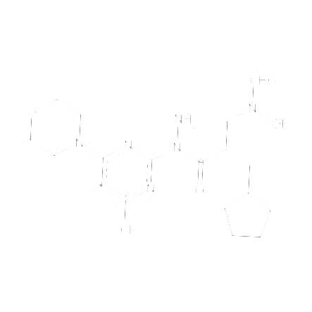 NN(C(=O)[C@@H](CC1CCCC1)CN(O)C=O)c1nc(N2CCOCC2)cc(C(F)(F)F)n1